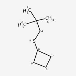 CC(C)(C)CSC1CCC1